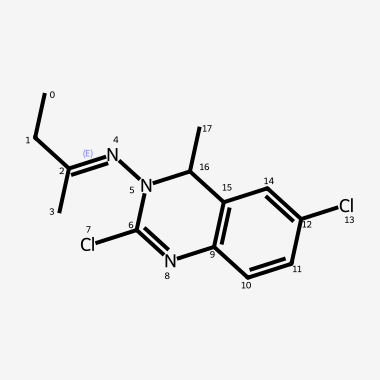 CC/C(C)=N/N1C(Cl)=Nc2ccc(Cl)cc2C1C